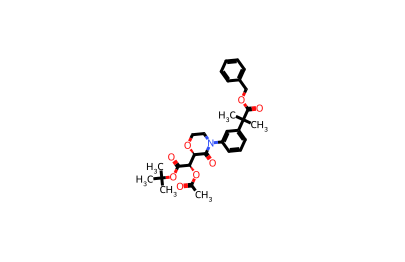 CC(=O)O[C@@H](C(=O)OC(C)(C)C)[C@H]1OCCN(c2cccc(C(C)(C)C(=O)OCc3ccccc3)c2)C1=O